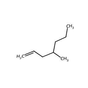 C=CCC(C)CCC